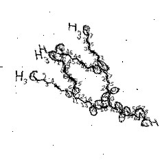 CCCCCC#CCCOC(CCCCC(=O)OCC(COC(=O)CCCCC(OCCC#CCCCCC)OCCC#CCCCCC)COC(=O)OCC1CCCN(CC)C1)OCCC#CCCCCC